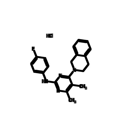 Cc1nc(Nc2ccc(F)cc2)nc(N2CCc3ccccc3C2)c1C.Cl